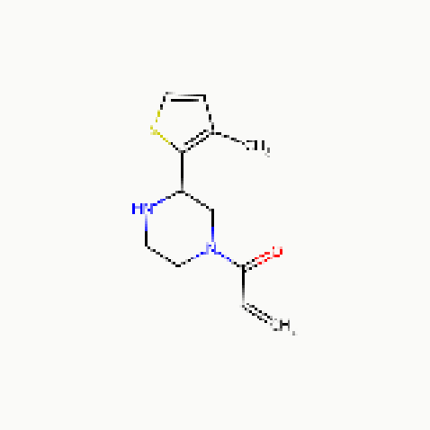 C=CC(=O)N1CCNC(c2sccc2C)C1